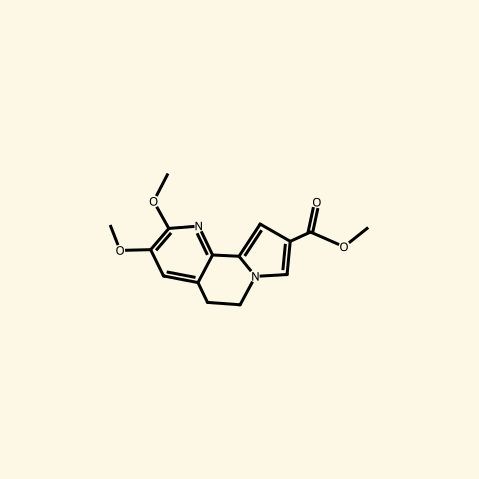 COC(=O)c1cc2n(c1)CCc1cc(OC)c(OC)nc1-2